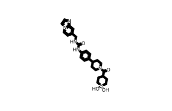 O=C(NCc1ccn2ccnc2c1)Nc1ccc(C2CCN(C(=O)C3CCS(O)(O)CC3)CC2)cc1